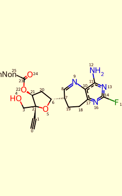 C#C[C@]1(CO)O[C@@H](C2C=Nc3c(N)nc(F)nc3CC2)C[C@@H]1OC(=O)CCCCCCCCC